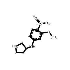 COc1cc(NC2CCNC2)ccc1[N+](=O)[O-]